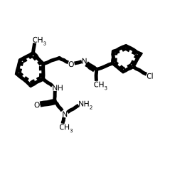 CC(=NOCc1c(C)cccc1NC(=O)N(C)N)c1cccc(Cl)c1